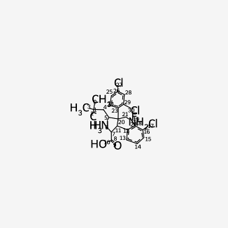 CC(C)(C)CC1NC(C(=O)O)C(c2cccc(Cl)c2F)C1(CN)c1ccc(Cl)cc1Cl